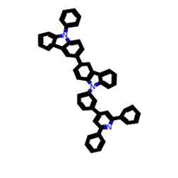 C1=CC(c2ccc3c(c2)c2ccccc2n3-c2ccccc2)Cc2c1n(-c1cccc(-c3cc(-c4ccccc4)nc(-c4ccccc4)c3)c1)c1ccccc21